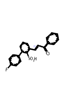 O=C(/C=C/c1cccc(-c2ccc(F)cc2)c1S(=O)(=O)O)c1ccccc1